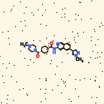 CN1CCN(C(=O)[C@H]2CC[C@H](C(=O)Nc3cc4cc(-c5cnn(C)c5)ccc4cn3)CC2)CC1